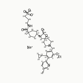 CCOc1cc(-c2ccc(F)cn2)c(C2CC2)cc1CN1CCC2(CC1)CN(C1CCC(C)(C(=O)NCCCS(=O)(=O)[O-])CC1)C(=O)O2.[Na+]